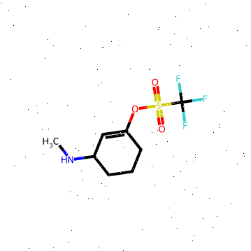 CNC1C=C(OS(=O)(=O)C(F)(F)F)CCC1